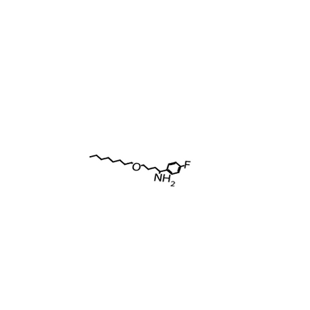 CCCCCCCCOCCCC(N)c1ccc(F)cc1